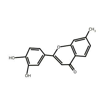 Cc1ccc2c(=O)cc(-c3ccc(O)c(O)c3)oc2c1